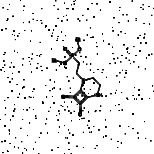 CCOP(=O)(CCN1CCNc2c1c(=O)c2=O)OCC